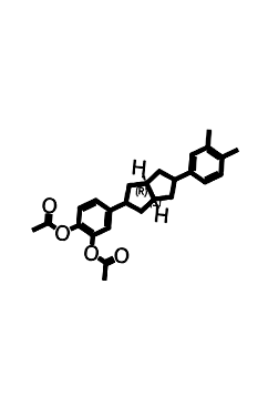 CC(=O)Oc1ccc(C2C[C@H]3CC(c4ccc(C)c(C)c4)C[C@H]3C2)cc1OC(C)=O